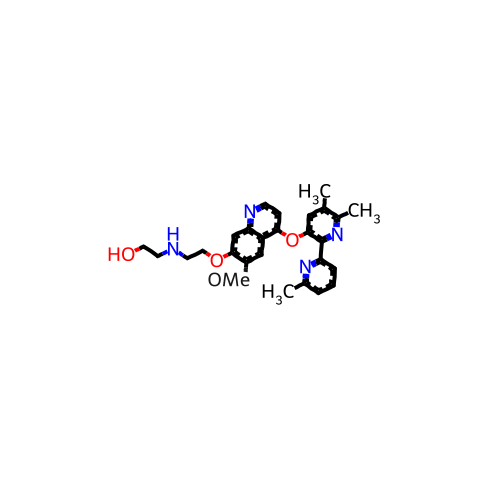 COc1cc2c(Oc3cc(C)c(C)nc3-c3cccc(C)n3)ccnc2cc1OCCNCCO